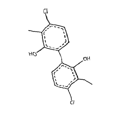 Cc1c(Cl)ccc(-c2ccc(Cl)c(C)c2O)c1O